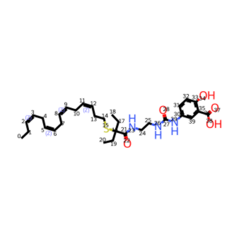 CC/C=C\C/C=C\C/C=C\C/C=C\CCSC(CC)(CC)C(=O)NCCNC(=O)Nc1ccc(O)c(C(=O)O)c1